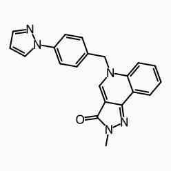 Cn1nc2c3ccccc3n(Cc3ccc(-n4cccn4)cc3)cc-2c1=O